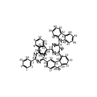 c1ccc(-c2nc(-c3ccccc3)nc(-c3ccc4sc5cccc(-c6nc(-c7ccccc7)nc(-n7c8ccccc8c8ccccc87)n6)c5c4c3)n2)cc1